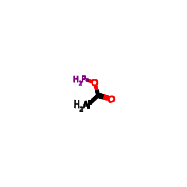 O=[C]([AlH2])OP